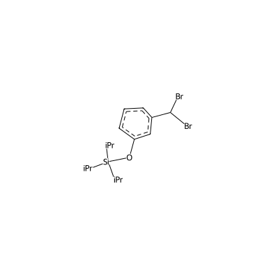 CC(C)[Si](Oc1cccc(C(Br)Br)c1)(C(C)C)C(C)C